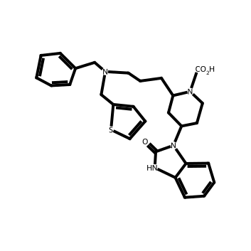 O=C(O)N1CCC(n2c(=O)[nH]c3ccccc32)CC1CCCN(Cc1ccccc1)Cc1cccs1